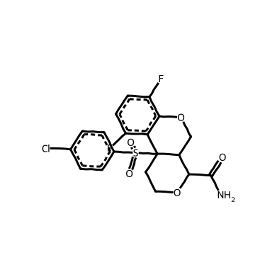 NC(=O)C1OCCC2(S(=O)(=O)c3ccc(Cl)cc3)c3c(F)ccc(F)c3OCC12